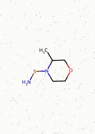 CC1COCCN1SN